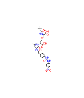 CC(C)CC(NC(=O)Cc1ccc(NC(=O)Nc2ccc([N+](=O)[O-])cc2)cc1)C(=O)NC(CCOCC(NC(=O)CC(C)(C)C)C(=O)O)C(=O)O